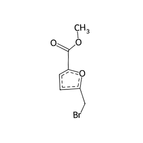 COC(=O)c1ccc(CBr)o1